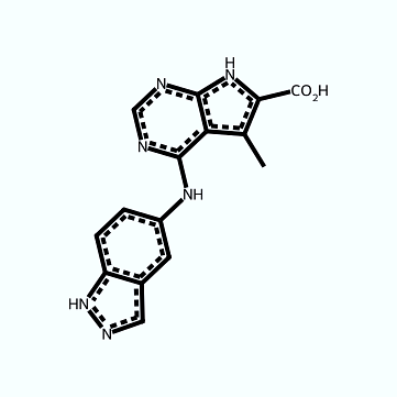 Cc1c(C(=O)O)[nH]c2ncnc(Nc3ccc4[nH]ncc4c3)c12